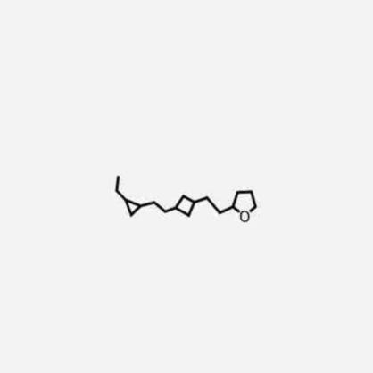 CCC1CC1CCC1CC(CCC2CCCO2)C1